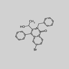 CC(O)c1c(-c2ccccc2)c2cc(Br)ccc2c(=O)n1Cc1ccccc1